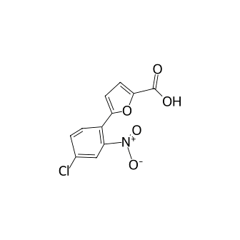 O=C(O)c1ccc(-c2ccc(Cl)cc2[N+](=O)[O-])o1